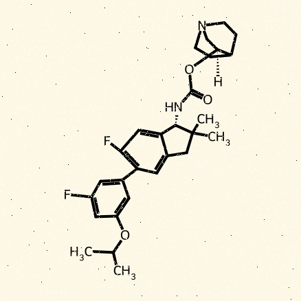 CC(C)Oc1cc(F)cc(-c2cc3c(cc2F)[C@H](NC(=O)O[C@H]2CN4CCC2CC4)C(C)(C)C3)c1